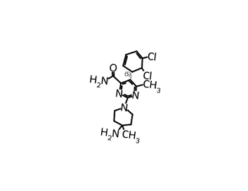 Cc1nc(N2CCC(C)(N)CC2)nc(C(N)=O)c1[C@@H]1C=CC=C(Cl)C1Cl